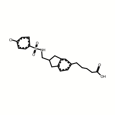 O=C(O)CCCCc1ccc2c(c1)CC(CNS(=O)(=O)c1ccc(Cl)cc1)C2